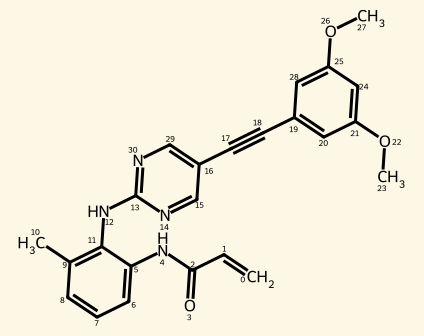 C=CC(=O)Nc1cccc(C)c1Nc1ncc(C#Cc2cc(OC)cc(OC)c2)cn1